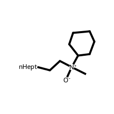 CCCCCCCCC[N+](C)([O-])C1CCCCC1